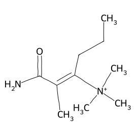 CCCC(=C(C)C(N)=O)[N+](C)(C)C